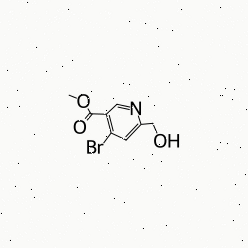 COC(=O)c1cnc(CO)cc1Br